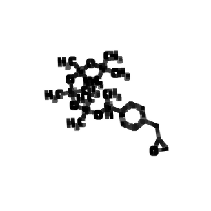 C[SiH](O[Si](C)(C)O[Si](C)(C)O[Si](C)(C)O[Si](C)(C)C)c1ccc(CC2CO2)cc1